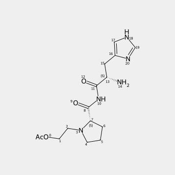 CC(=O)OCCN1CCC[C@H]1C(=O)NC(=O)[C@@H](N)Cc1c[nH]cn1